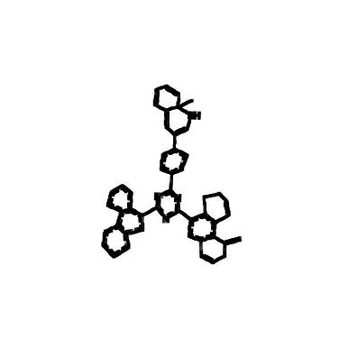 C=C1CC=Cc2cc(-c3nc(-c4ccc(C5=CNC6(C)C=CC=CC6=C5)cc4)nc(-c4cc5ccccc5c5ccccc45)n3)c3c(c21)C=CCC3